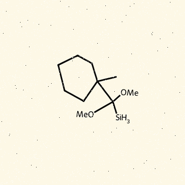 COC([SiH3])(OC)C1(C)CCCCC1